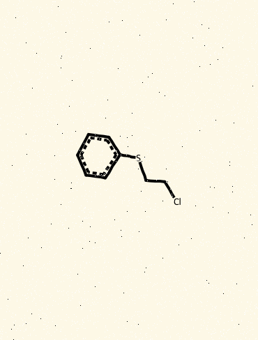 Cl[CH]CSc1ccccc1